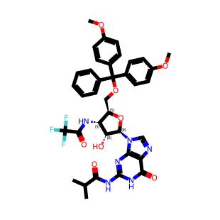 COc1ccc(C(OC[C@H]2O[C@@H](n3cnc4c(=O)[nH]c(NC(=O)C(C)C)nc43)[C@H](O)[C@@H]2NC(=O)C(F)(F)F)(c2ccccc2)c2ccc(OC)cc2)cc1